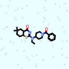 CCN(C1=NC(=O)C2CC(C)(C)CCC2S1)C1CCN(C(=O)c2ccccc2)CC1